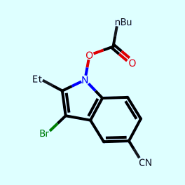 CCCCC(=O)On1c(CC)c(Br)c2cc(C#N)ccc21